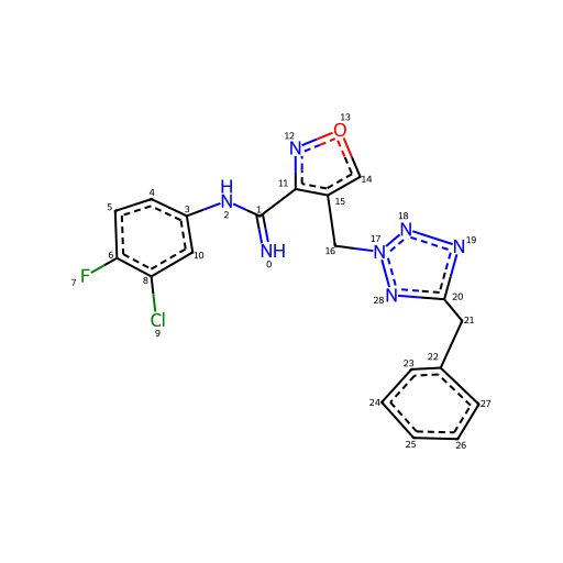 N=C(Nc1ccc(F)c(Cl)c1)c1nocc1Cn1nnc(Cc2ccccc2)n1